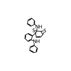 C1=CC2(c3ccccc3Nc3ccccc3)SC2(Nc2ccccc2)C2SC12